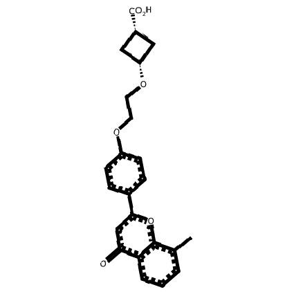 Cc1cccc2c(=O)cc(-c3ccc(OCCO[C@H]4C[C@@H](C(=O)O)C4)cc3)oc12